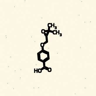 CC1(C)OC1COc1ccc(C(=O)O)cc1